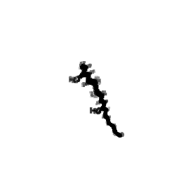 CCCCCCCC(O)CCCCCCCC(O)CC